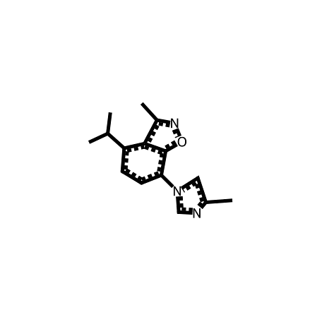 Cc1cn(-c2ccc(C(C)C)c3c(C)noc23)cn1